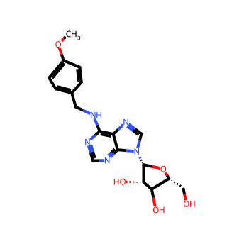 COc1ccc(CNc2ncnc3c2ncn3[C@@H]2O[C@H](CO)C(O)[C@@H]2O)cc1